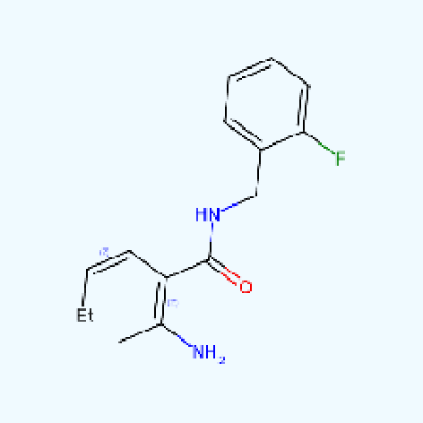 CC/C=C\C(C(=O)NCc1ccccc1F)=C(/C)N